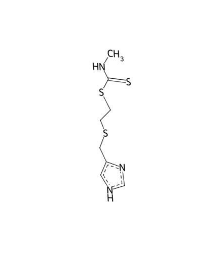 CNC(=S)SCCSCc1c[nH]cn1